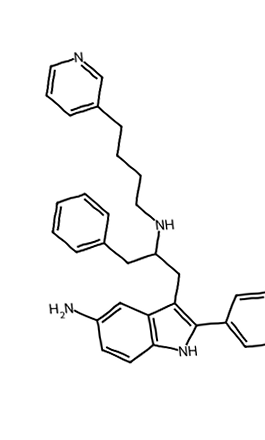 Cc1cc(C)cc(-c2[nH]c3ccc(N)cc3c2CC(Cc2ccccc2)NCCCCc2cccnc2)c1